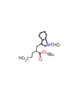 CC(C)(C)OC(=O)C(CCC(=O)O)Cc1cn(C=O)c2ccccc12